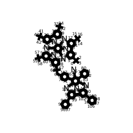 CC(C)(C)c1ccc2c(c1)c1cc(C(C)(C)C)ccc1n2-c1c(C#N)c(-n2c3ccc(C(C)(C)C)cc3c3cc(C(C)(C)C)ccc32)c(C#N)c(-n2c3ccc(C(C)(C)C)cc3c3cc(C(C)(C)Cc4ccc(-c5c(C#N)c(-c6ccccc6)c(C#N)c(-n6c7ccc(-c8ccccc8)cc7c7cc(-c8ccccc8)ccc76)c5C#N)cc4)ccc32)c1C#N